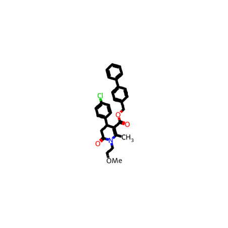 COCCN1C(=O)CC(c2ccc(Cl)cc2)C(C(=O)OCc2ccc(-c3ccccc3)cc2)=C1C